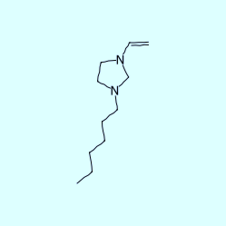 C=CN1CCN(CCCCCC)C1